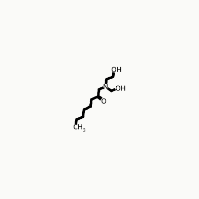 CCCCCCC(=O)CN(CO)CCO